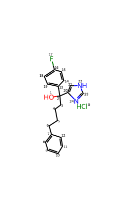 Cl.OC(CCCCc1ccccc1)(c1ccc(F)cc1)c1c[nH]cn1